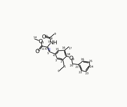 CCc1cc(/C=C(\NC(C)=O)C(=O)OC)cc(C)c1OCc1ccccc1